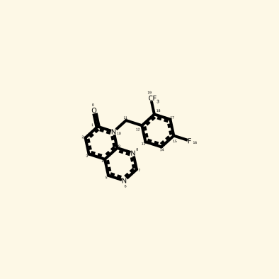 O=c1ccc2cncnc2n1Cc1ccc(F)cc1C(F)(F)F